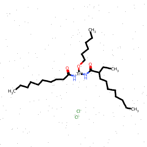 CCCCCCCCCC(=O)[NH][Ti+2]([NH]C(=O)C(CC)CCCCCCCC)[O]CCCCCC.[Cl-].[Cl-]